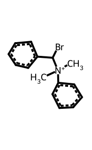 C[N+](C)(c1ccccc1)C(Br)c1ccccc1